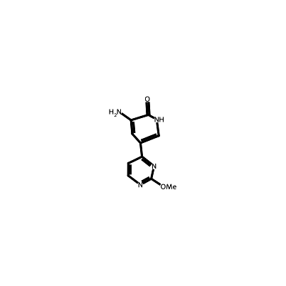 COc1nccc(-c2c[nH]c(=O)c(N)c2)n1